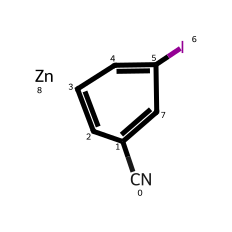 N#Cc1cccc(I)c1.[Zn]